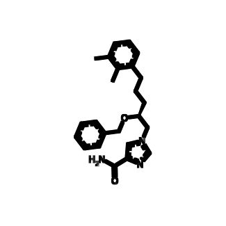 Cc1cccc(CCC[C@@H](Cn2cnc(C(N)=O)c2)OCc2ccccc2)c1C